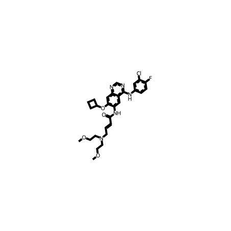 COCCN(CC=CC(=O)Nc1cc2c(Nc3ccc(F)c(Cl)c3)ncnc2cc1OC1CCC1)CCOC